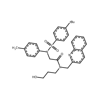 Cc1ccc(N(CC(=O)N(CCCO)Cc2ccc3ccccc3n2)S(=O)(=O)c2ccc(C(C)(C)C)cc2)cc1